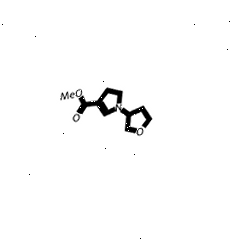 COC(=O)C1=CN(C2CCOC2)CC1